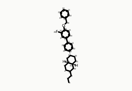 CCCC1CC[C@@H]2C[C@H](c3ccc(-c4ccc(OCc5ccccc5)c(F)c4)cc3)CC[C@@H]2C1